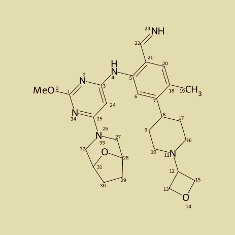 COc1nc(Nc2cc(C3CCN(C4COC4)CC3)c(C)cc2C=N)cc(N2CC3CCC(C2)O3)n1